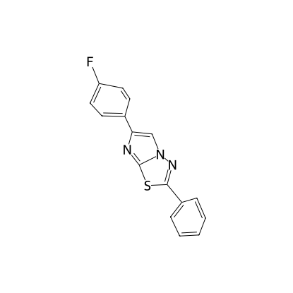 Fc1ccc(-c2cn3nc(-c4ccccc4)sc3n2)cc1